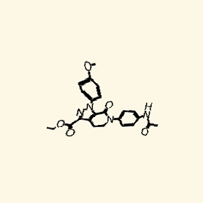 CCOC(=O)c1nn(-c2ccc(OC)cc2)c2c1CCN(c1ccc(NC(C)=O)cc1)C2=O